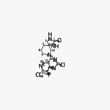 O=C1NCC2(CCCN(c3nc(Cl)nc4c(F)c(Cl)ncc34)C2)N1